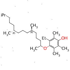 CCc1c(C)c(O)c(C)c(C)c1OC(C)CCC[C@H](C)CCC[C@H](C)CCCC(C)C